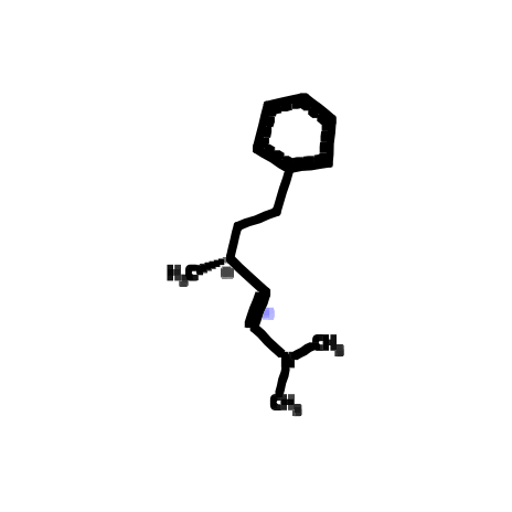 C[C@@H](/C=C/N(C)C)CCc1ccccc1